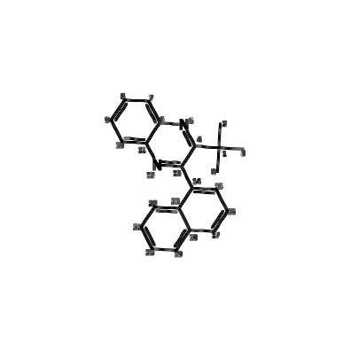 CC(C)(C)c1nc2ccccc2nc1-c1cccc2ccccc12